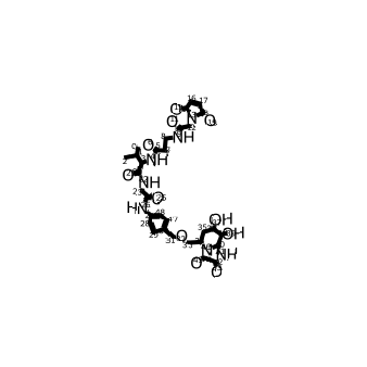 CC(C)C(NC(=O)CCNC(=O)CN1C(=O)C=CC1=O)C(=O)NCC(=O)Nc1ccc(COCC2CC(O)C(O)C3NC(=O)C(=O)N23)cc1